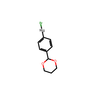 [Br][Mg][c]1ccc(C2OCCCO2)cc1